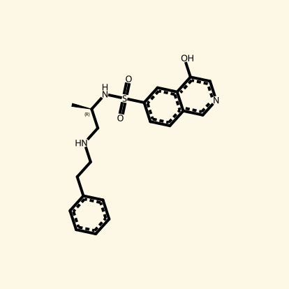 C[C@H](CNCCc1ccccc1)NS(=O)(=O)c1ccc2cncc(O)c2c1